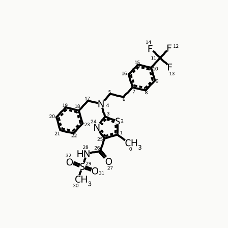 Cc1sc(N(CCc2ccc(C(F)(F)F)cc2)Cc2ccccc2)nc1C(=O)NS(C)(=O)=O